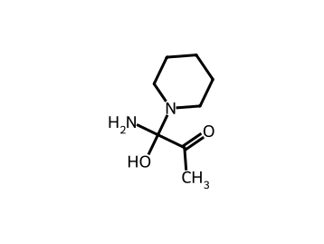 CC(=O)C(N)(O)N1CCCCC1